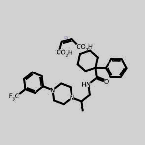 CC(CNC(=O)C1(c2ccccc2)CCCCC1)N1CCN(c2cccc(C(F)(F)F)c2)CC1.O=C(O)/C=C\C(=O)O